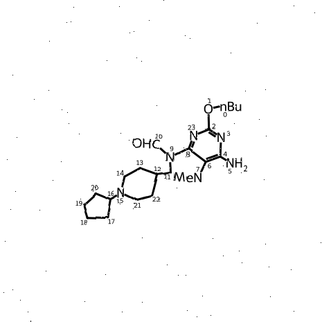 CCCCOc1nc(N)c(NC)c(N(C=O)CC2CCN(C3CCCC3)CC2)n1